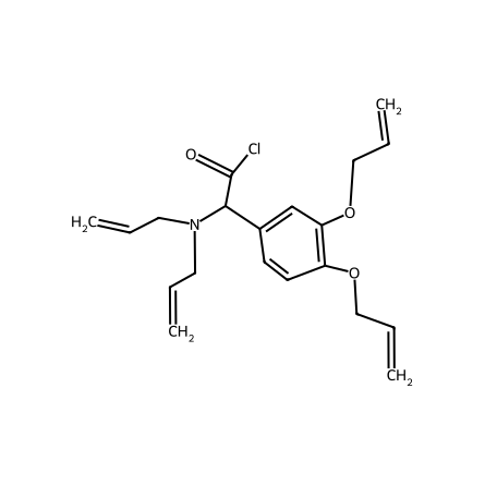 C=CCOc1ccc(C(C(=O)Cl)N(CC=C)CC=C)cc1OCC=C